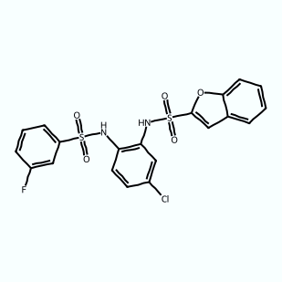 O=S(=O)(Nc1ccc(Cl)cc1NS(=O)(=O)c1cc2ccccc2o1)c1cccc(F)c1